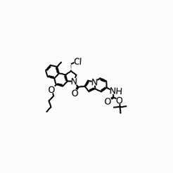 CCCCOc1cc2c(c3c(C)cccc13)[C@H](CCl)CN2C(=O)c1cc2cc(NC(=O)OC(C)(C)C)ccn2c1